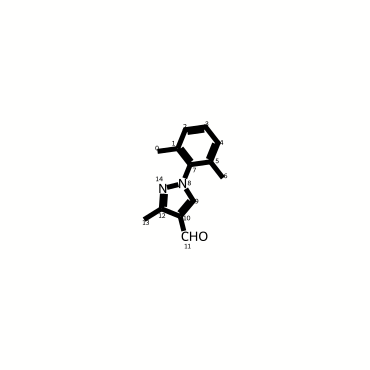 Cc1cccc(C)c1-n1cc(C=O)c(C)n1